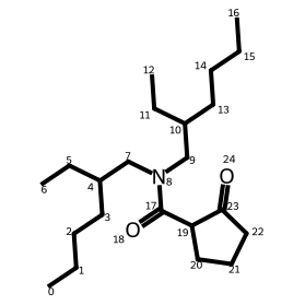 CCCCC(CC)CN(CC(CC)CCCC)C(=O)C1CCCC1=O